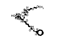 COCCOCCNS(=O)(=O)NC(=O)OC[C@H](CCC(C)(C)[Si](C)(C)O)NC(=O)CCCNC(=O)OC[C@@H]1[C@@H]2CCC#CCC[C@@H]21